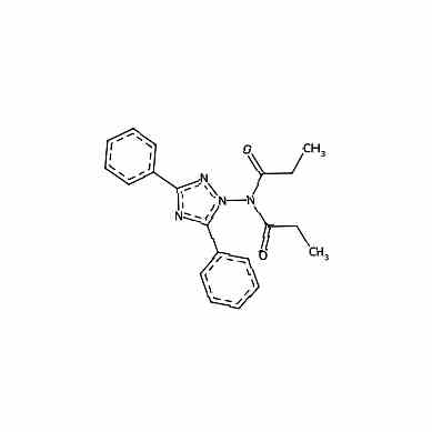 CCC(=O)N(C(=O)CC)n1nc(-c2ccccc2)nc1-c1ccccc1